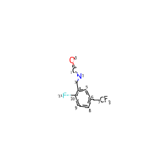 O=C=NCc1cc(C(F)(F)F)ccc1F